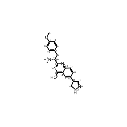 COc1ccc(C[C@@H](N)c2nc(O)c3cc(C4C=NNC4)ccc3n2)cc1